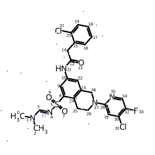 CN(C)/C=N/S(=O)(=O)c1cc(NC(=O)Cc2ccccc2Cl)cc2c1CCN(c1cc(Cl)c(F)cn1)C2